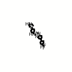 FC(F)(F)c1ccc(-c2ccc3nnc(Nc4ccc(N5CCNCC5)cc4)nc3c2)cc1